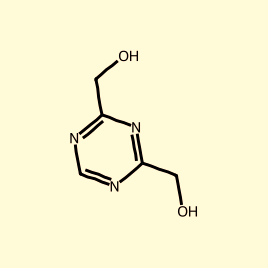 OCc1ncnc(CO)n1